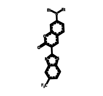 CCN(CC)c1ccc2cc(-c3nc4cc(C(F)(F)F)ccc4s3)c(=O)oc2c1